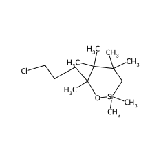 CC1(C)C[Si](C)(C)OC(C)(CCCCl)C1(C)C